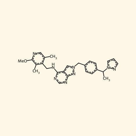 COc1ncc(C)c(CNc2ncnc3nn(Cc4ccc(C(C)n5cccn5)cc4)cc23)c1C